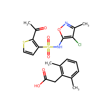 CC(=O)c1sccc1S(=O)(=O)Nc1onc(C)c1Cl.Cc1cccc(C)c1CC(=O)O